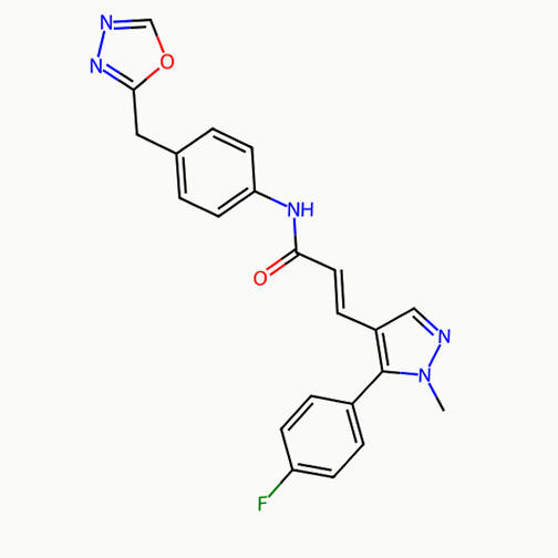 Cn1ncc(C=CC(=O)Nc2ccc(Cc3nnco3)cc2)c1-c1ccc(F)cc1